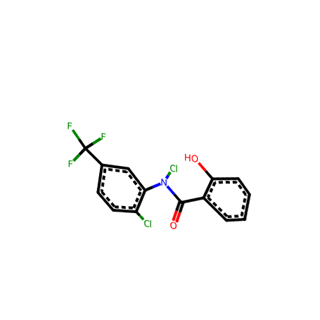 O=C(c1ccccc1O)N(Cl)c1cc(C(F)(F)F)ccc1Cl